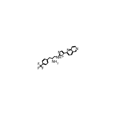 N[C@@H](CNc1ncc(-c2ccc3cnccc3n2)s1)Cc1ccc(C(F)(F)F)cc1